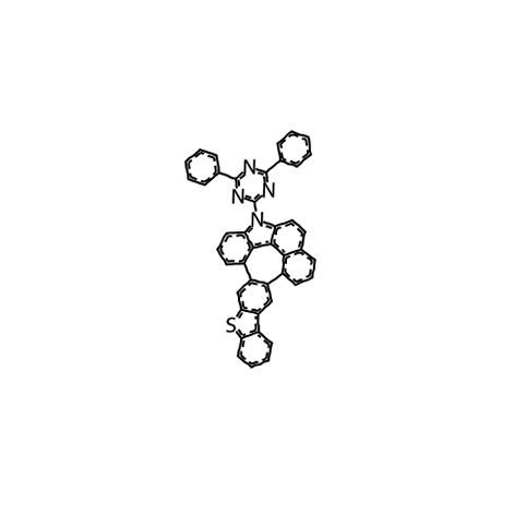 c1ccc(-c2nc(-c3ccccc3)nc(-n3c4cccc5c4c4c6c(cccc6ccc43)-c3cc4c(cc3-5)sc3ccccc34)n2)cc1